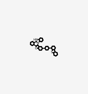 c1ccc2c(c1)NC1c3ccccc3-c3oc4ccc(-c5ccc(-c6cccc7c6sc6ccccc67)cc5)cc4c3N21